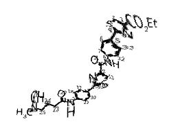 CCOC(=O)c1csc(-c2ccc(NC(=O)c3csc(-c4ccc(NC(=O)CCCN(C)C)cc4)n3)cc2)n1